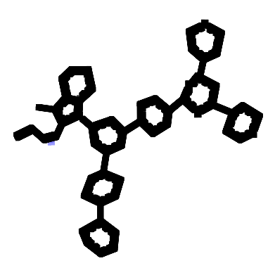 C=C/C=C\c1c(C)c2ccccc2n1-c1cc(-c2ccc(-c3ccccc3)cc2)cc(-c2ccc(-c3nc(-c4ccncc4)cc(-c4ccncc4)n3)cc2)c1